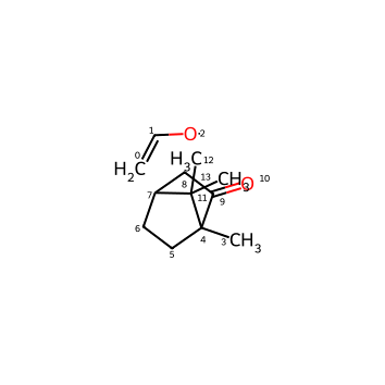 C=C[O].CC12CCC(CC1=O)C2(C)C